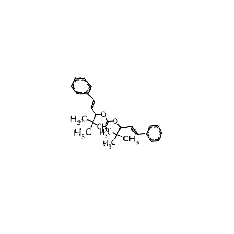 CC(C)(C)C(/C=C/c1ccccc1)OC(=O)OC(/C=C/c1ccccc1)C(C)(C)C